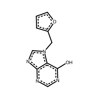 Oc1ncnc2ncn(Cc3ccco3)c12